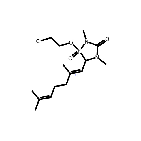 CC(C)=CCC/C(C)=C/C1N(C)C(=O)N(C)P1(=O)OCCCl